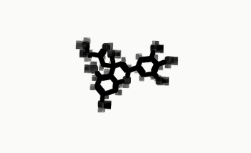 O=C(CC1(O)C=C(c2cc(O)c(O)c(O)c2)Oc2cc(O)cc(O)c21)NO